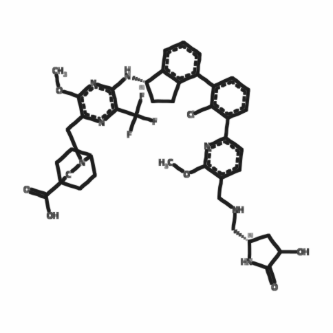 COc1nc(-c2cccc(-c3cccc4c3CC[C@@H]4Nc3nc(OC)c(CN4CC5(C(=O)O)CCC4CC5)nc3C(F)(F)F)c2Cl)ccc1CNC[C@@H]1CC(O)C(=O)N1